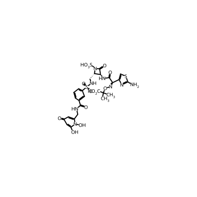 CC(C)(ON=C(C(=O)N[C@@H]1C(=O)N(S(=O)(=O)O)[C@H]1CNS(=O)(=O)c1cccc(C(=O)NCc2cc(=O)cc(O)n2O)c1)c1csc(N)n1)C(=O)O